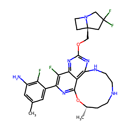 Cc1cc(N)c(F)c(-c2nc3c4c(nc(OC[C@@]56CCN5CC(F)(F)C6)nc4c2F)NCCNCC[C@H](C)O3)c1